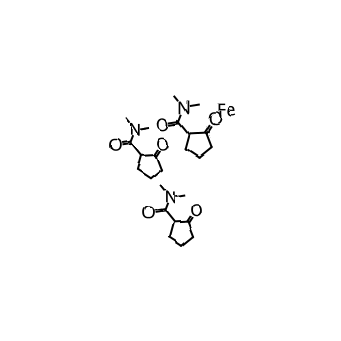 CN(C)C(=O)C1CCCC1=O.CN(C)C(=O)C1CCCC1=O.CN(C)C(=O)C1CCCC1=O.[Fe]